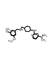 COc1cc(CNCC2CCC(Nc3nccc(N(C)C)n3)CC2)cc(OC)c1